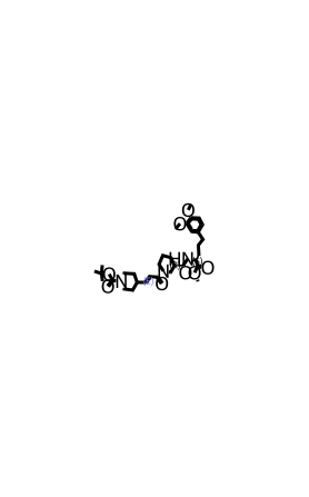 COC(=O)[C@H](CCCc1ccc(OC)c(OC)c1)NC(=O)[C@@H]1CCCN(C(=O)/C=C/C2CCN(C(=O)OC(C)(C)C)CC2)C1